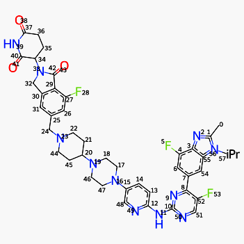 Cc1nc2c(F)cc(-c3nc(Nc4ccc(N5CCN(C6CCN(Cc7cc(F)c8c(c7)CN(C7CCC(=O)NC7=O)C8=O)CC6)CC5)cn4)ncc3F)cc2n1C(C)C